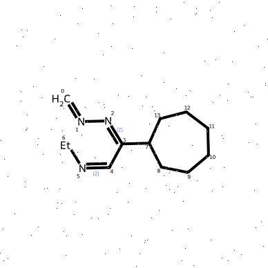 C=N/N=C(\C=N/CC)C1CCCCCC1